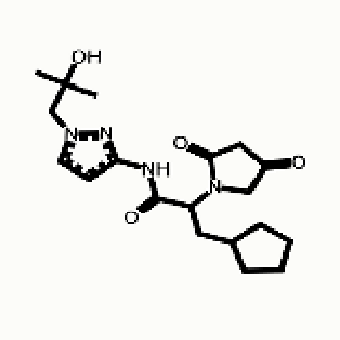 CC(C)(O)Cn1ccc(NC(=O)C(CC2CCCC2)N2CC(=O)CC2=O)n1